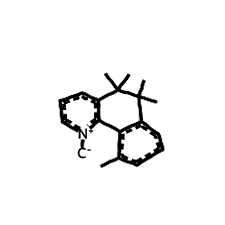 [CH2-][n+]1cccc2c1-c1c(C)cccc1C(C)(C)C2(C)C